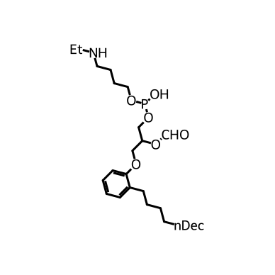 CCCCCCCCCCCCCCc1ccccc1OCC(COP(O)OCCCCNCC)OC=O